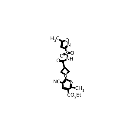 CCOC(=O)c1cc(C#N)c(N2CC(C(=O)NS(=O)(=O)c3cc(C)on3)C2)nc1C